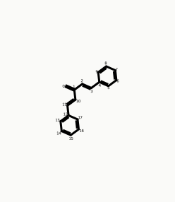 C=C(C=Cc1ccccc1)C=Cc1ccccc1